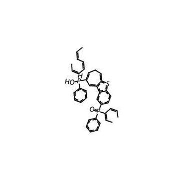 C\C=C/C=C\C(=C/C)[PH](O)(C1=CCC=c2sc3ccc(P(=O)(C(/C=C\C)=C/C)c4ccccc4)cc3c2=C1)c1ccccc1